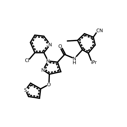 Cc1cc(C#N)cc(C(C)C)c1NC(=O)c1cc(Oc2ccsc2)nn1-c1ncccc1Cl